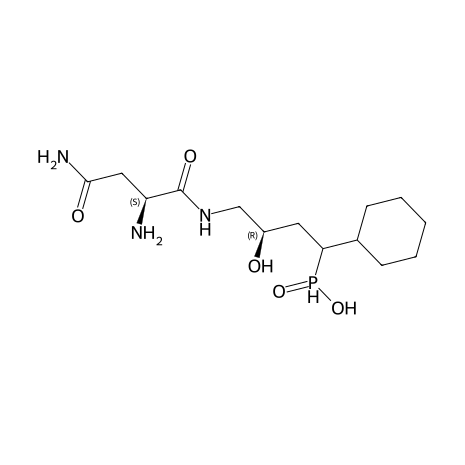 NC(=O)C[C@H](N)C(=O)NC[C@H](O)CC(C1CCCCC1)[PH](=O)O